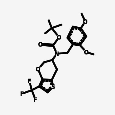 COc1ccc(CN(C(=O)OC(C)(C)C)C2COc3c(C(F)(F)F)csc3C2)c(OC)c1